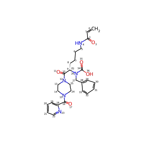 C=CC(=O)NCCCC[C@@H](C(=O)N1CCN(C(=O)c2ccccn2)CC1)N(Cc1ccccc1)C(=O)O